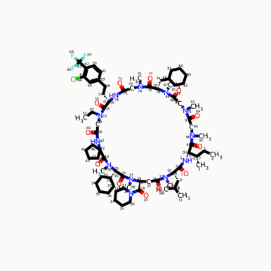 CC[C@H](C)[C@@H]1NC(=O)[C@H](CC(C)C)N(C)C(=O)C[C@@H](C(=O)N2CCCCC2)N(C)C(=O)[C@H](C2CCCCC2)N(C)C(=O)C2(CCCC2)NC(=O)CN(CC)C(=O)[C@H](CCc2ccc(C(F)(F)F)c(Cl)c2)NC(=O)CN(C)C(=O)[C@H](CC2CCCCC2)N(C)C(=O)CN(C)C(=O)CN(C)C1=O